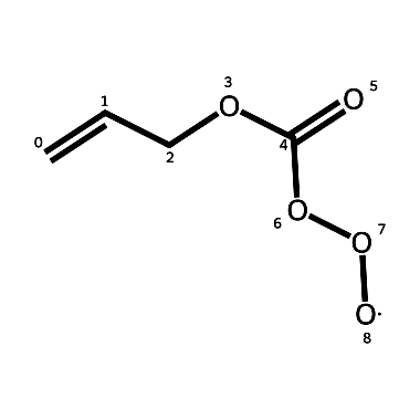 C=CCOC(=O)OO[O]